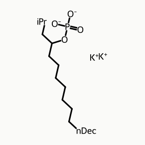 CCCCCCCCCCCCCCCCCC(CC(C)C)OP(=O)([O-])[O-].[K+].[K+]